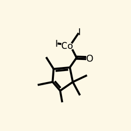 CC1=C(C)C(C)(C)C([C](=O)[Co]([I])[I])=C1C